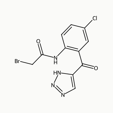 O=C(CBr)Nc1ccc(Cl)cc1C(=O)c1cnn[nH]1